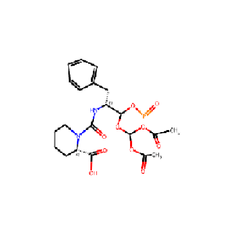 CC(=O)OC(OC(C)=O)OC(OP=O)[C@@H](Cc1ccccc1)NC(=O)N1CCCC[C@H]1C(=O)O